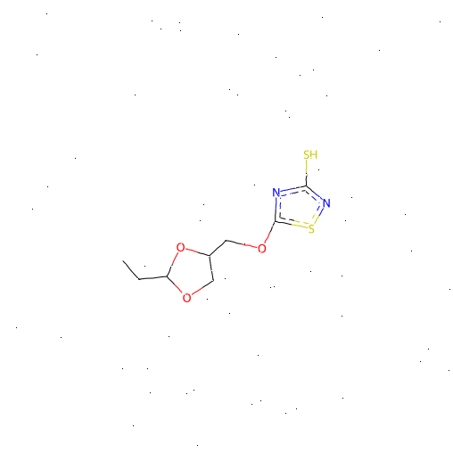 CCC1OCC(COc2nc(S)ns2)O1